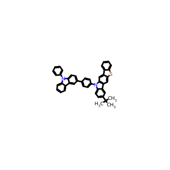 CC(C)(C)c1ccc2c(c1)c1cc3sc4ccccc4c3cc1n2-c1ccc(-c2ccc3c(c2)c2ccccc2n3-c2ccccc2)cc1